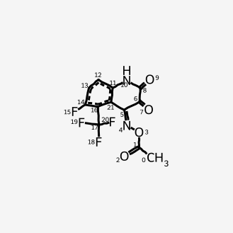 CC(=O)ON=C1C(=O)C(=O)Nc2ccc(F)c(C(F)(F)F)c21